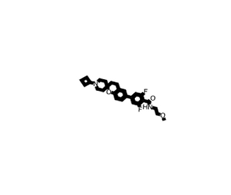 COCCNC(=O)c1c(F)cc(-c2ccc3c(c2)CCC2(CCN(C4CCC4)CC2)O3)cc1F